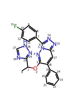 CC(Oc1nn2c(-c3ccc(F)cc3)nnc2cc1-c1ccccc1)c1nc[nH]n1